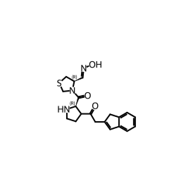 O=C(CC1=Cc2ccccc2C1)C1CCN[C@H]1C(=O)N1CSC[C@H]1C=NO